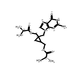 C[C@H](N)C(=O)OCC1CC1(COC(=O)[C@H](C)N)Cn1cnc2c(=O)[nH]c(N)nc21